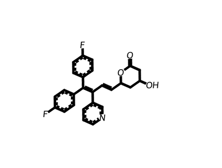 O=C1CC(O)CC(C=CC(=C(c2ccc(F)cc2)c2ccc(F)cc2)c2cccnc2)O1